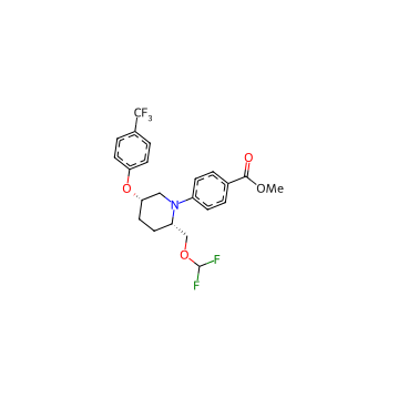 COC(=O)c1ccc(N2C[C@@H](Oc3ccc(C(F)(F)F)cc3)CC[C@H]2COC(F)F)cc1